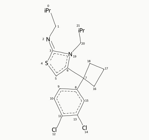 CC(C)CN=c1scc(C2(c3ccc(Cl)c(Cl)c3)CCC2)n1CC(C)C